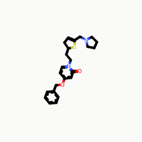 O=c1cc(OCc2ccccc2)ccn1CCC1CC=C(CN2CCCC2)S1